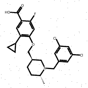 C[C@@H]1CC[C@@H](COc2cc(F)c(C(=O)O)cc2C2CC2)CN1Cc1cc(Cl)cc(Cl)c1